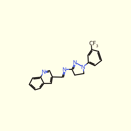 FC(F)(F)c1cccc(N2CCC(/N=C/c3cnc4ccccc4c3)=N2)c1